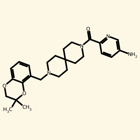 CC1(C)COc2cccc(CN3CCC4(CC3)CCN(C(=O)c3ccc(N)cn3)CC4)c2O1